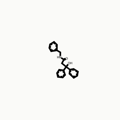 O=C(CC(O)(c1ccccc1)c1ccccc1)NCc1ccccc1